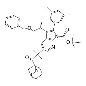 Cc1cc(C)cc(-c2c([C@H](C)COCc3ccccc3)c3cc(C(C)(C)C(=O)N4CC5CCC4CC5)cnc3n2C(=O)OC(C)(C)C)c1